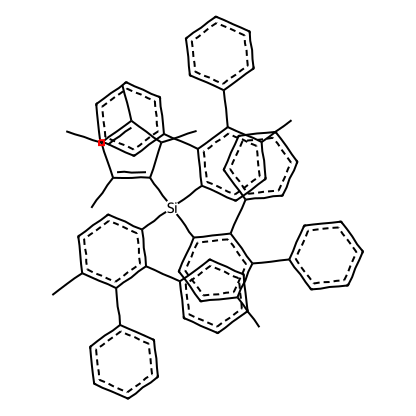 CC1=C(C)C(C)C([Si](c2ccc(C)c(-c3ccccc3)c2-c2ccccc2)(c2ccc(C)c(-c3ccccc3)c2-c2ccccc2)c2ccc(C)c(-c3ccccc3)c2-c2ccccc2)=C1C